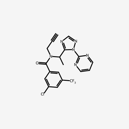 C#CCN(C(=O)c1cc(Cl)cc(C(F)(F)F)c1)C(C)c1ncnn1-c1ncccn1